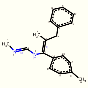 C/N=C/N/C(=C(\C)Cc1ccccc1)c1ccc(C)cc1